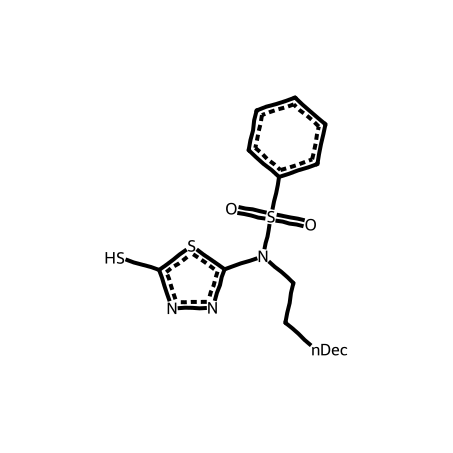 CCCCCCCCCCCCN(c1nnc(S)s1)S(=O)(=O)c1ccccc1